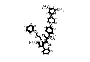 Cc1cc(C)nc(N2CCN(c3ccc(NC(=O)C(=O)c4c(-c5ccccc5)cc(C)n4CCOc4ccccc4)cc3)CC2)c1